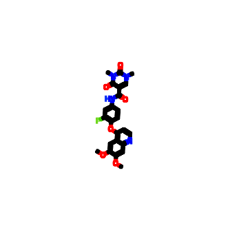 COc1cc2nccc(Oc3ccc(NC(=O)c4cn(C)c(=O)n(C)c4=O)cc3F)c2cc1OC